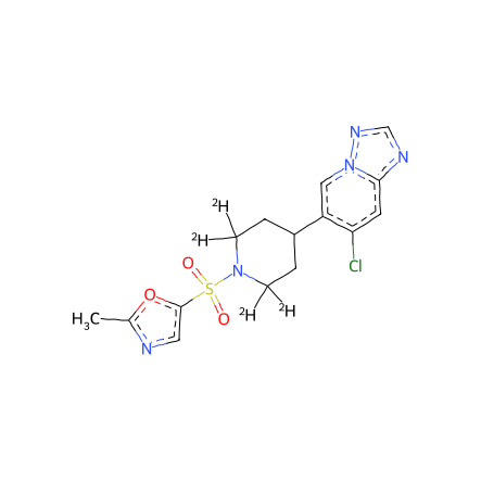 [2H]C1([2H])CC(c2cn3ncnc3cc2Cl)CC([2H])([2H])N1S(=O)(=O)c1cnc(C)o1